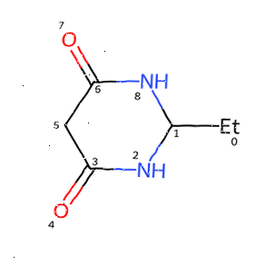 CCC1NC(=O)CC(=O)N1